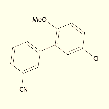 COc1ccc(Cl)cc1-c1cccc(C#N)c1